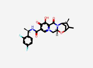 CC1C2CC([C@H]1C)N1C(=O)c3c(O)c(=O)c(C(=O)N[C@H](C)c4ccc(F)cc4F)cn3C[C@H]1O2